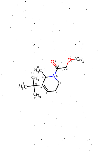 COCC(=O)N1CCC=C(C(C)(C)C)C1C